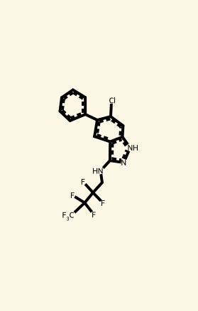 FC(F)(F)C(F)(F)C(F)(F)CNc1n[nH]c2cc(Cl)c(-c3ccccc3)cc12